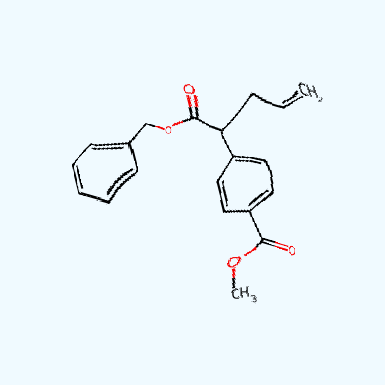 C=CCC(C(=O)OCc1ccccc1)c1ccc(C(=O)OC)cc1